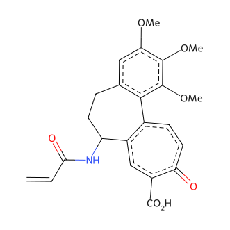 C=CC(=O)NC1CCc2cc(OC)c(OC)c(OC)c2-c2ccc(=O)c(C(=O)O)cc21